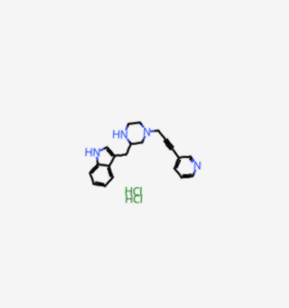 C(#Cc1cccnc1)CN1CCNC(Cc2c[nH]c3ccccc23)C1.Cl.Cl